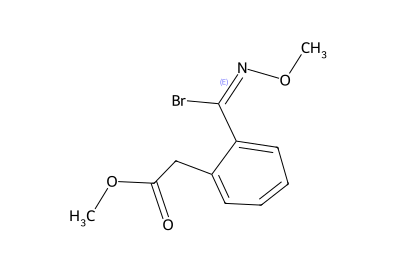 CO/N=C(/Br)c1ccccc1CC(=O)OC